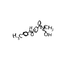 Cc1ccc(NC(=O)N2CCC(C(=O)N(C)CCO)CC2)cc1